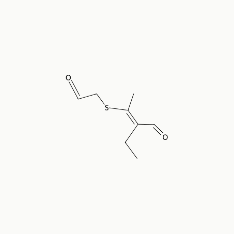 CC/C(C=O)=C(/C)SCC=O